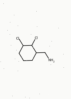 NCC1CCCC(Cl)C1Cl